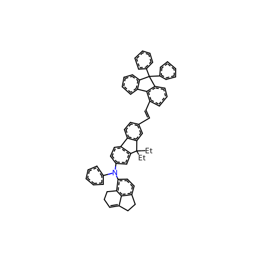 CCC1(CC)c2cc(/C=C/c3cccc4c3-c3ccccc3C4(c3ccccc3)c3ccccc3)ccc2-c2ccc(N(c3ccccc3)c3ccc4c5c3CCC=C5CC4)cc21